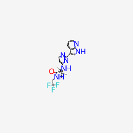 CC(C)[C@](C)(Nc1ccnc(-c2c[nH]c3ncccc23)n1)C(=O)NCC(F)(F)F